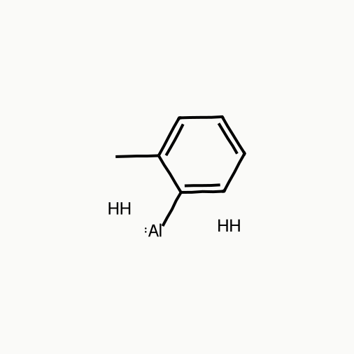 Cc1cccc[c]1[Al].[HH].[HH]